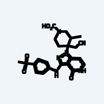 CC1CN(C(=O)O)CCC1(CC#N)n1nc(Nc2ccc(S(C)(=O)=O)cc2)c2c(=O)[nH]ccc21